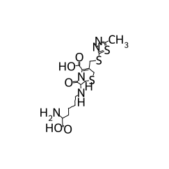 Cc1nnc(SCC2=C(C(=O)O)N3C(=O)C(NCCCCC(N)C(=O)O)[C@@H]3SC2)s1